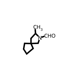 CC1CC2(CCCC2)CN1C=O